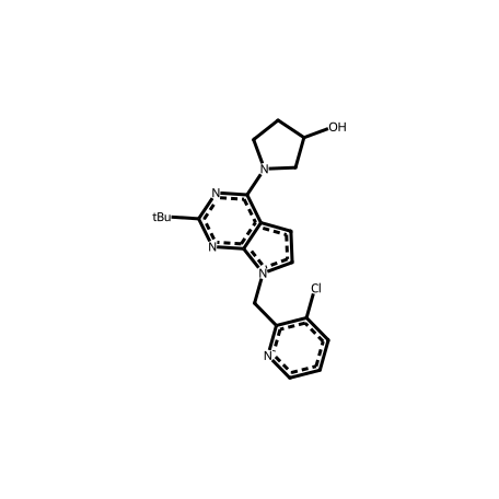 CC(C)(C)c1nc(N2CCC(O)C2)c2ccn(Cc3ncccc3Cl)c2n1